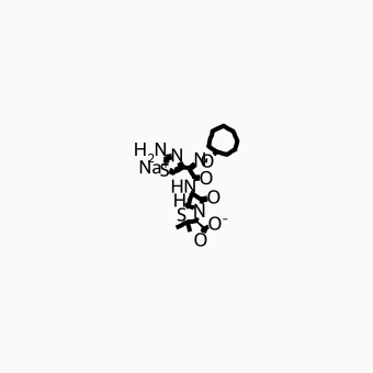 CC1(C)S[C@@H]2[C@@H](NC(=O)/C(=N\OC3CCCCCCC3)c3csc(N)n3)C(=O)N2[C@H]1C(=O)[O-].[Na+]